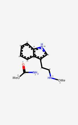 COC(N)=O.CONCCc1c[nH]c2ccccc12